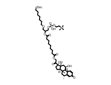 CCCCCCCCCCCCCCCCCOCC(COP(=O)(O)OCC[N+](C)(C)C)OC(=O)CCCCCCCC(=O)OCC(=O)[C@]1(O)CC[C@@H]2[C@@]3(C)C[C@@H](C)C4=CC(=O)C=C[C@@]4(C)[C@@H]3[C@H](O)C[C@]21C